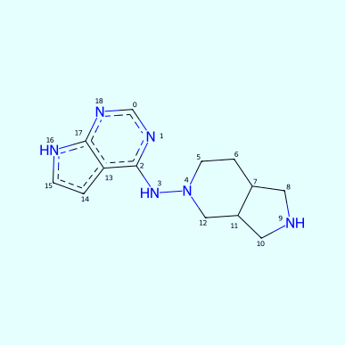 c1nc(NN2CCC3CNCC3C2)c2cc[nH]c2n1